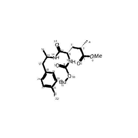 COC(=O)[C@@H](C)C[C@H](NC(=O)OC(C)(C)C)C(=O)NC(C)Cc1ccc(F)cc1